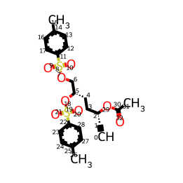 C#C[C@H](CC[C@@H](COS(=O)(=O)c1ccc(C)cc1)OS(=O)(=O)c1ccc(C)cc1)OC(C)=O